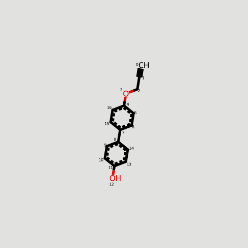 C#CCOc1ccc(-c2ccc(O)cc2)cc1